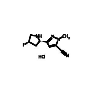 Cl.Cn1nc([C@@H]2C[C@@H](F)CN2)cc1C#N